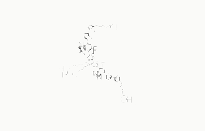 CCCCCCc1ccc(-c2ccc(-c3cc(F)c(-c4cc5c(s4)-c4sc(-c6c(F)cc(-c7ccc(-c8ccc(CCCCCC)s8)s7)c7nsnc67)cc4[Si]5(CCCCCC)CCCCCC)c4nsnc34)s2)s1